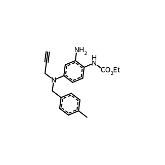 C#CCN(Cc1ccc(C)cc1)c1ccc(NC(=O)OCC)c(N)c1